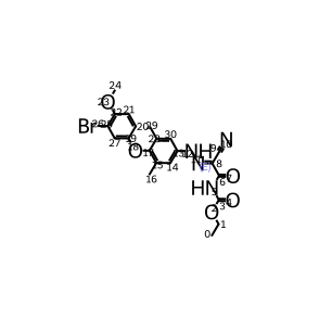 CCOC(=O)NC(=O)/C(C#N)=N/Nc1cc(C)c(Oc2ccc(OC)c(Br)c2)c(C)c1